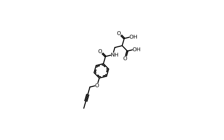 CC#CCOc1ccc(C(=O)NCC(C(=O)O)C(=O)O)cc1